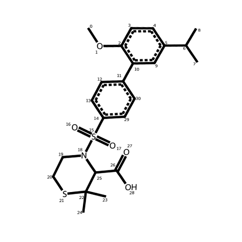 COc1ccc(C(C)C)cc1-c1ccc(S(=O)(=O)N2CCSC(C)(C)C2C(=O)O)cc1